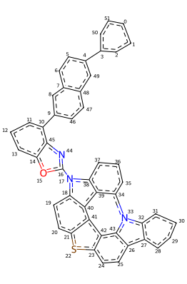 c1ccc(-c2ccc3cc(-c4cccc5oc(-n6c7ccc8sc9ccc%10c%11ccccc%11n%11c%12cccc6c%12c7c8c9c%10%11)nc45)ccc3c2)cc1